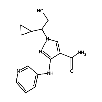 N#CCC(C1CC1)n1cc(C(N)=O)c(Nc2cccnc2)n1